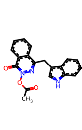 CC(=O)On1nc(Cc2c[nH]c3ccccc23)c2ccccc2c1=O